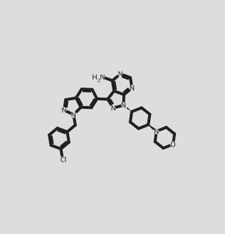 Nc1ncnc2c1c(-c1ccc3cnn(Cc4cccc(Cl)c4)c3c1)nn2[C@H]1CC[C@H](N2CCOCC2)CC1